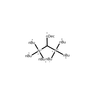 CCCCCCCCCCC([N+](CCCC)(CCCC)CCCC)[N+](CCCC)(CCCC)CCCC